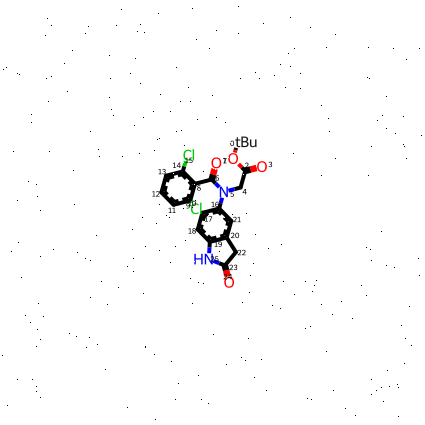 CC(C)(C)OC(=O)CN(C(=O)c1c(Cl)cccc1Cl)c1ccc2c(c1)CC(=O)N2